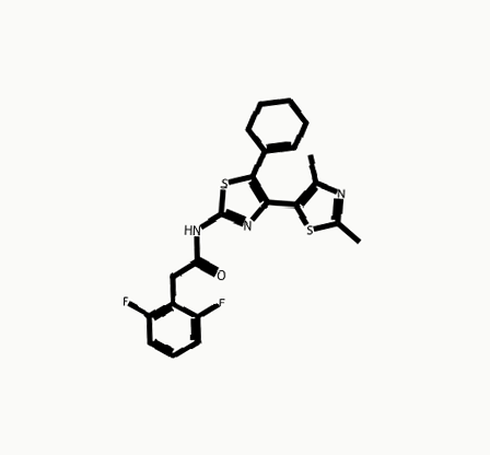 Cc1nc(C)c(-c2nc(NC(=O)Cc3c(F)cccc3F)sc2C2=CCCCC2)s1